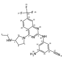 CCNC1CCN(c2nc(Nc3cc(N)cc(C#N)c3)nc3cc(C(F)(F)F)ccc23)C1